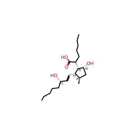 CCCCCC(C(=O)O)[C@H]1[C@@H](C=C[C@@H](O)CCCCC)[C@H](C)C[C@H]1O